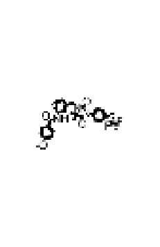 COc1ccc(C(=O)Nc2cc(CN3C(=O)N(c4ccc(SC(F)(F)F)cc4)C(=O)C3(C)C)ccn2)cc1